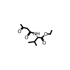 CCOC(=O)[C@@H](NC(=O)CC(C)=O)C(C)C